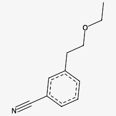 CCOCCc1cccc(C#N)c1